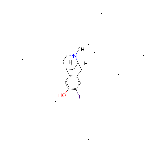 CN1CC[C@@]23CCCC[C@@H]2[C@@H]1Cc1cc(I)c(O)cc13